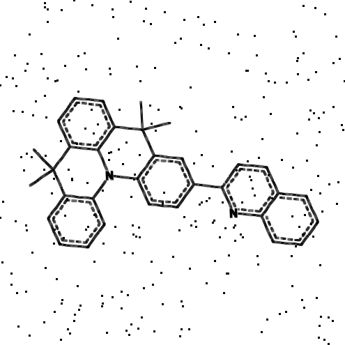 CC1(C)c2ccccc2N2c3ccc(-c4ccc5ccccc5n4)cc3C(C)(C)c3cccc1c32